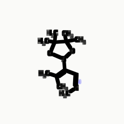 C/N=C\C(B1OC(C)(C)C(C)(C)O1)=C(C)C